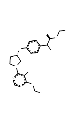 CC(=O)COc1ncnc(N2CC[C@@H](Oc3ccc(C(C)C(=O)NCC(F)(F)F)cc3)C2)c1Cl